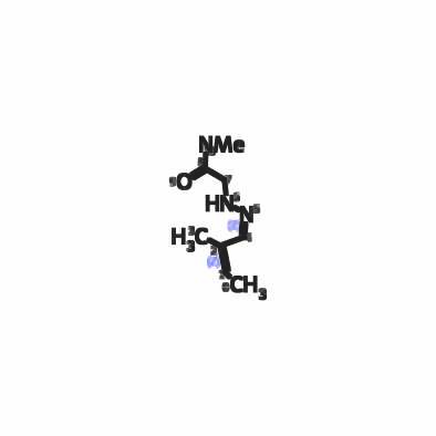 C/C=C(C)\C=N/NCC(=O)NC